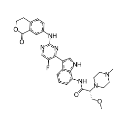 COC[C@H](C(=O)Nc1cccc2c(-c3nc(Nc4ccc5c(c4)C(=O)OCC5)ncc3F)c[nH]c12)N1CCN(C)CC1